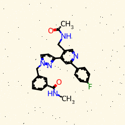 CNC(=O)c1cccc(Cn2ccc(-c3cc(-c4ccc(F)cc4)ncc3CNC(C)=O)n2)c1